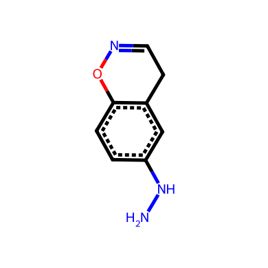 NNc1ccc2c(c1)CC=NO2